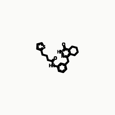 O=C(CCCc1cccs1)Nc1cccc(Cc2n[nH]c(=O)c3c2CCCC3)c1